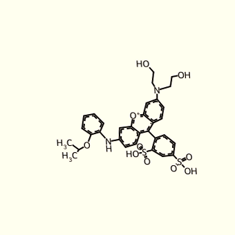 CC(C)Oc1ccccc1Nc1ccc2c(-c3ccc(S(=O)(=O)O)cc3S(=O)(=O)O)c3ccc(N(CCO)CCO)cc3[o+]c2c1